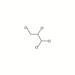 ClCC(Cl)C(Cl)Cl